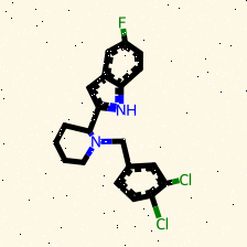 Fc1ccc2[nH]c(C3CCCCN3Cc3ccc(Cl)c(Cl)c3)cc2c1